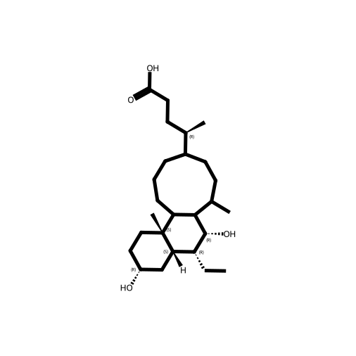 CC[C@H]1[C@@H](O)C2C(C)CCC([C@H](C)CCC(=O)O)CCCC2[C@@]2(C)CC[C@@H](O)C[C@@H]12